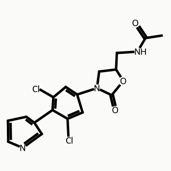 CC(=O)NCC1CN(c2cc(Cl)c(-c3cccnc3)c(Cl)c2)C(=O)O1